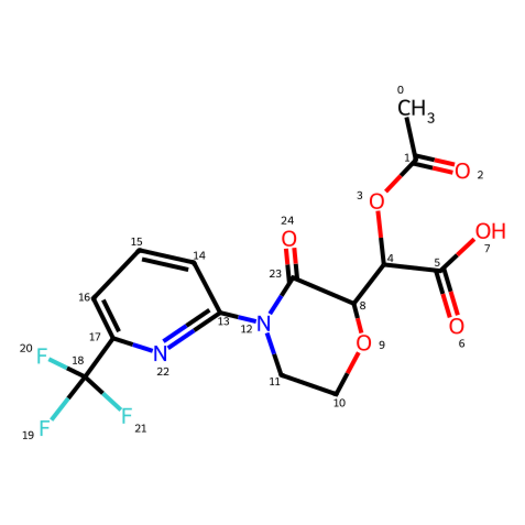 CC(=O)OC(C(=O)O)C1OCCN(c2cccc(C(F)(F)F)n2)C1=O